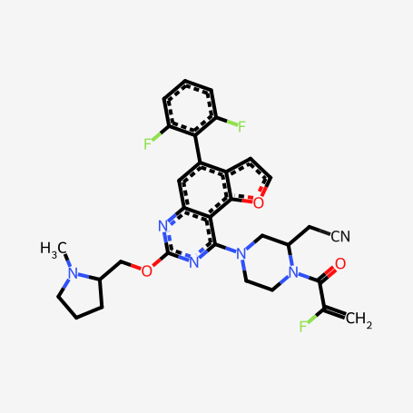 C=C(F)C(=O)N1CCN(c2nc(OCC3CCCN3C)nc3cc(-c4c(F)cccc4F)c4ccoc4c23)CC1CC#N